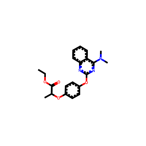 CCOC(=O)C(C)Oc1ccc(Oc2nc(N(C)C)c3ccccc3n2)cc1